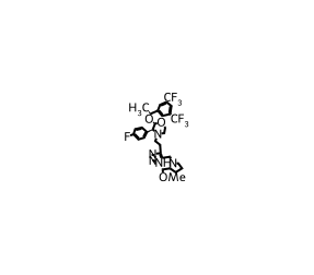 COCC1CCCN1Cc1[nH]nnc1CCN1CCO[C@H](O[C@H](C)c2cc(C(F)(F)F)cc(C(F)(F)F)c2)[C@@H]1c1ccc(F)cc1